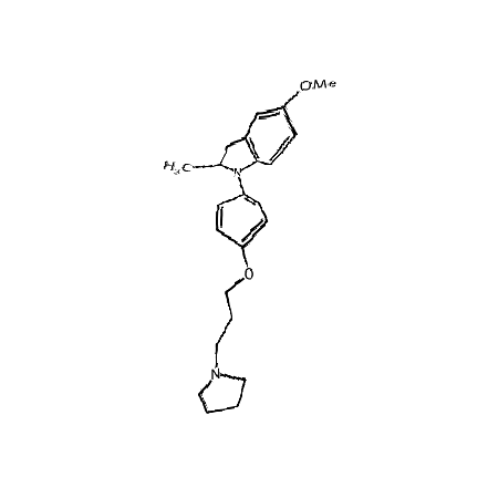 COc1ccc2c(c1)CC(C)N2c1ccc(OCCCN2CCCC2)cc1